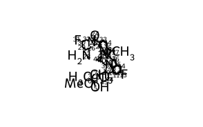 COC(C)(C)C(O)N1CCC(c2cc(F)cc3cc(-c4nn5cc(C(=O)N6C[C@H](N)C[C@@H](F)C6)ccc5c4C)n(CC4CC4)c23)CC1